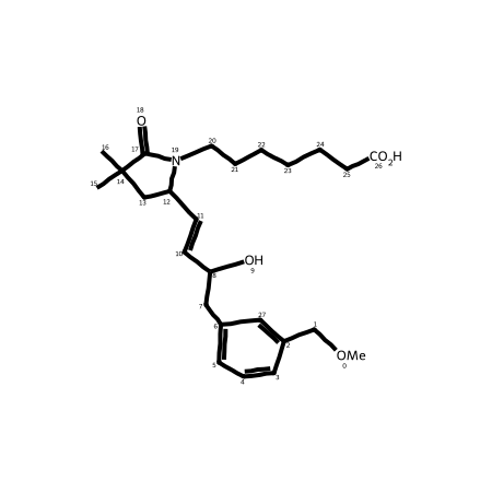 COCc1cccc(CC(O)/C=C/C2CC(C)(C)C(=O)N2CCCCCCC(=O)O)c1